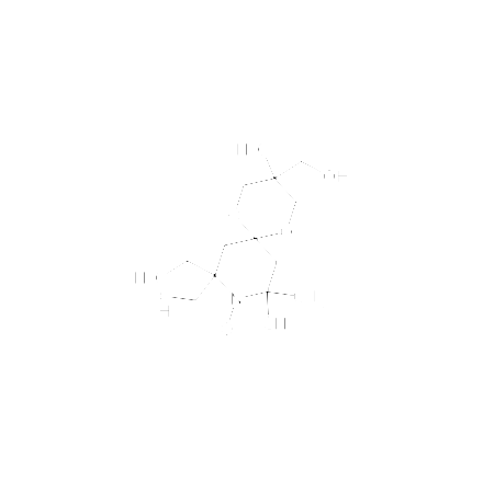 CCC1(CC)CC2(CC(C)(C)N1[O])OCC(C)(CO)CO2